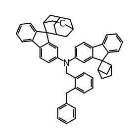 c1ccc(Cc2ccccc2CN(c2ccc3c(c2)C2(c4ccccc4-3)C3CCC4CC(C3)CC2C4)c2ccc3c(c2)C2(c4ccccc4-3)C3CCC2C3)cc1